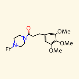 CCN1CCN(C(=O)CCc2cc(OC)c(OC)c(OC)c2)CC1